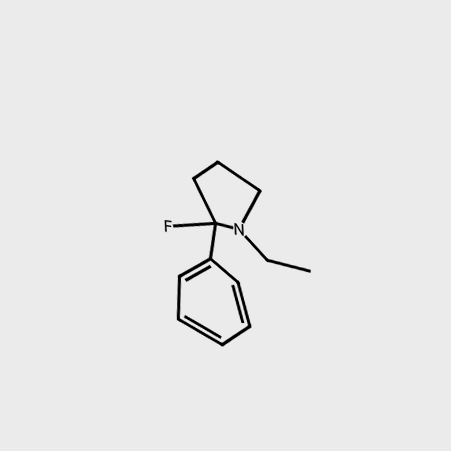 CCN1CCCC1(F)c1ccccc1